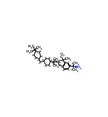 CC(C)(C)c1cc(C(C)(C)N)ccc1CCC(C)(C)C1CCC(CC2CCC(C(C)(C)C)CC2)CC1